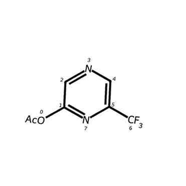 CC(=O)Oc1cncc(C(F)(F)F)n1